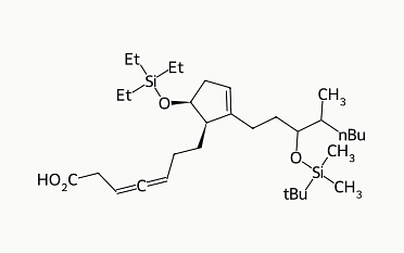 CCCCC(C)C(CCC1=CC[C@H](O[Si](CC)(CC)CC)[C@@H]1CCC=C=CCC(=O)O)O[Si](C)(C)C(C)(C)C